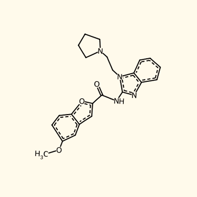 COc1ccc2oc(C(=O)Nc3nc4ccccc4n3CCN3CCCC3)cc2c1